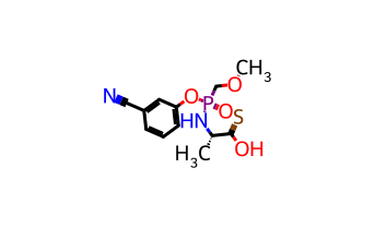 COCP(=O)(N[C@@H](C)C(O)=S)Oc1cccc(C#N)c1